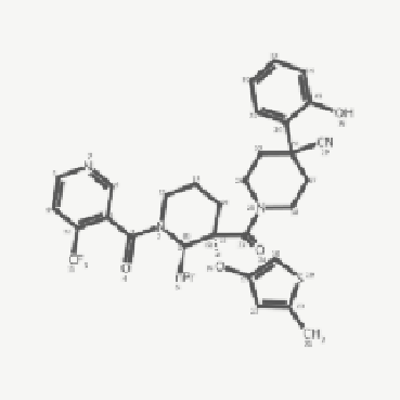 CCC[C@H]1N(C(=O)c2cnccc2C(F)(F)F)CCC[C@@]1(Oc1csc(C)c1)C(=O)N1CCC(C#N)(c2ccccc2O)CC1